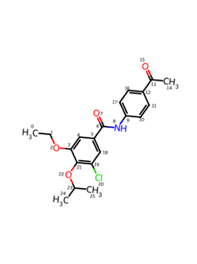 CCOc1cc(C(=O)Nc2ccc(C(C)=O)cc2)cc(Cl)c1OC(C)C